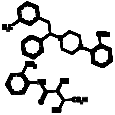 COc1ccccc1N1CCN(C(Cc2cccc(C)c2)c2ccccc2)CC1.O=C(O)C(O)C(O)C(=O)Nc1ccccc1[N+](=O)[O-]